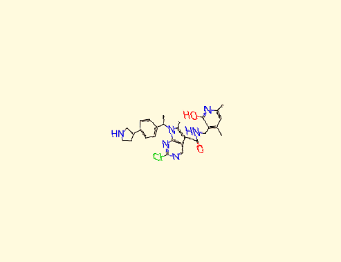 Cc1cc(C)c(CNC(=O)c2c(C)n([C@H](C)c3ccc(C4CCNC4)cc3)c3nc(Cl)ncc23)c(O)n1